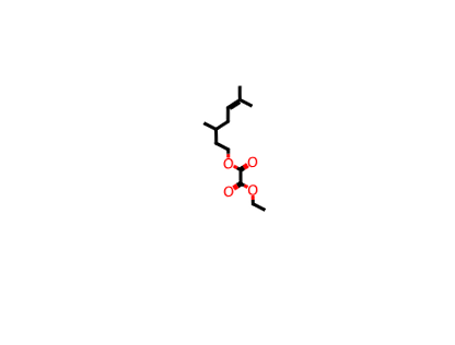 CCOC(=O)C(=O)OCCC(C)CC=C(C)C